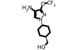 Nc1cn([C@H]2CC[C@H](CO)CC2)nc1OC(F)(F)F